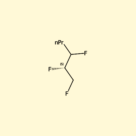 [CH2]CCC(F)[C@@H](F)CF